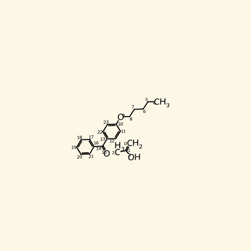 C=C(C)O.CCCCCOc1ccc(C(=O)c2ccccc2)cc1